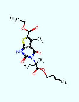 CCCCOC(=O)C(C)(C)n1c(=O)[nH]c2sc(C(=O)OCC)c(C)c2c1=O